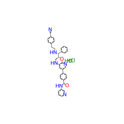 Cl.Cl.N#Cc1ccc(CCN[C@H](c2ccccc2)[C@@H]2CNc3cc(-c4ccc(C(=O)Nc5cccnc5)cc4)cnc3O2)cc1